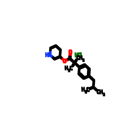 CC(C)Cc1ccc(C(C)(C)C(=O)OC2CCCNC2)cc1.Cl